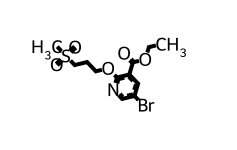 CCOC(=O)c1cc(Br)cnc1OCCCS(C)(=O)=O